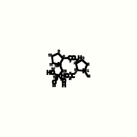 CN1CCC[C@H]1C(=O)O.O=C(O)[C@@H]1CCCN1CP(=O)(O)O